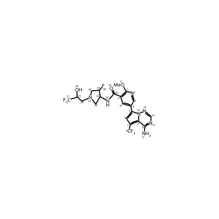 COc1ncc(-c2cc(C(F)(F)F)c3c(N)ncnn23)cc1C(=O)NC1CN(CC(O)C(F)(F)F)CC1F